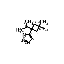 CC(C)C1(c2cnn[nH]2)CC(C)(F)C1